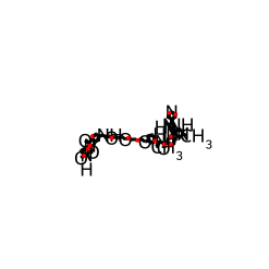 CC(NC(=O)c1cccc(NC2(c3nnc(-c4ccncc4)[nH]3)CCN(C)CC2)c1)c1cccc(OCCCCCOCCCOCCNc2ccc3c(c2)CN(C2CCC(=O)NC2=O)C3=O)c1